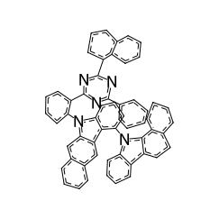 c1ccc(-c2nc(-c3ccccc3-n3c4cc5ccccc5cc4c4c(-n5c6ccccc6c6ccc7ccccc7c65)cccc43)nc(-c3cccc4ccccc34)n2)cc1